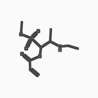 C=CC(=O)OC(C(C)NCC)S(=O)(=O)OC